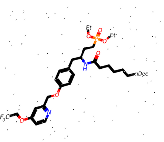 CCCCCCCCCCCCCCCC(=O)NC(CCP(=O)(OCC)OCC)Cc1ccc(OCc2cc(OCC(F)(F)F)ccn2)cc1